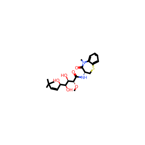 CO[C@@H](C(=O)N[C@H]1CSc2ccccc2N(C)C1=O)[C@H](O)[C@@H](O)[C@H](O)/C=C\C(C)(C)C